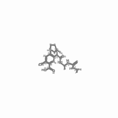 C=C(NNC)NC(C)NC(=O)N1c2nc(C(=O)O)c(Cl)cc2N2CC[C@H]1C2